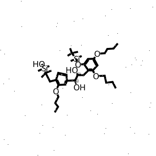 CCCCOc1cc(OCCCC)c(C[C@H](O)[C@@H](O)c2ccc(CC(C)(C)[Si](C)(C)O)c(OCCCC)c2)c(O[Si](C)(C)C(C)(C)C)c1